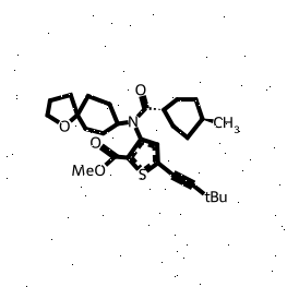 COC(=O)c1sc(C#CC(C)(C)C)cc1N(C(=O)[C@H]1CC[C@H](C)CC1)C1CCC2(CCCO2)CC1